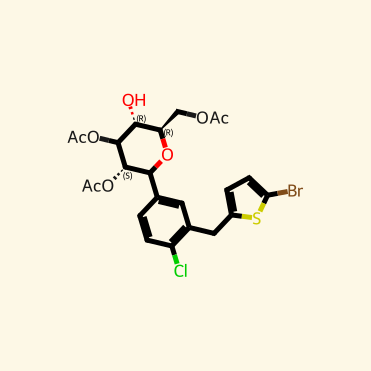 CC(=O)OC[C@H]1OC(c2ccc(Cl)c(Cc3ccc(Br)s3)c2)[C@H](OC(C)=O)C(OC(C)=O)[C@@H]1O